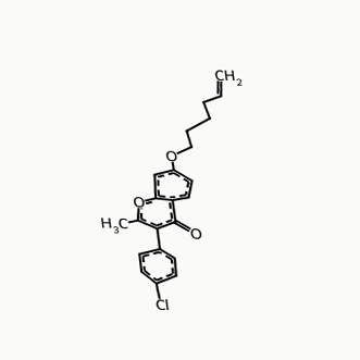 C=CCCCCOc1ccc2c(=O)c(-c3ccc(Cl)cc3)c(C)oc2c1